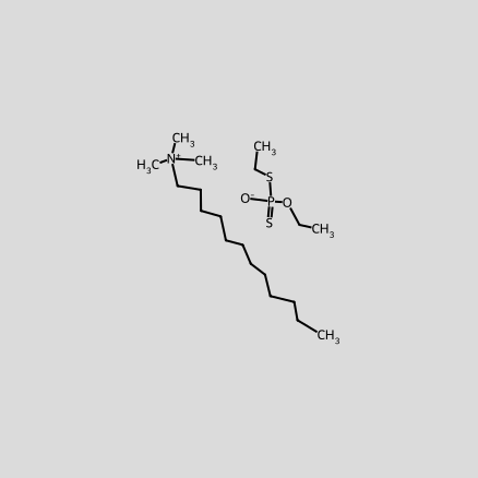 CCCCCCCCCCCC[N+](C)(C)C.CCOP([O-])(=S)SCC